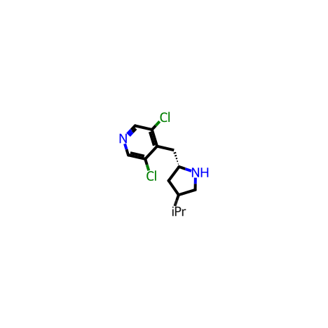 CC(C)C1CN[C@@H](Cc2c(Cl)cncc2Cl)C1